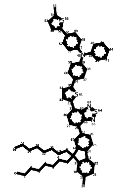 CCCCCCCCC1(CCCCCCCC)c2cc(C)ccc2-c2ccc(-c3ccc(-c4ccc(-c5ccc(N(c6ccccc6)c6ccc(-c7ccc(C)s7)cc6)cc5)s4)c4nsnc34)cc21